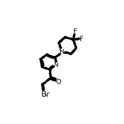 O=C(CBr)c1cccc(N2CCC(F)(F)CC2)n1